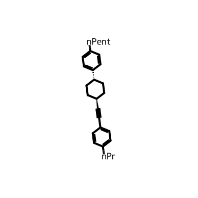 CCCCCc1ccc([C@H]2CC[C@H](C#Cc3ccc(CCC)cc3)CC2)cc1